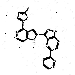 Fc1ccc(-c2nccc3[nH]c(-c4n[nH]c5ccc(-c6ccccn6)nc45)cc23)s1